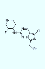 CC(C)Cc1nc(Cl)c2cnc(N[C@@H]3CCNC[C@H]3F)nn12